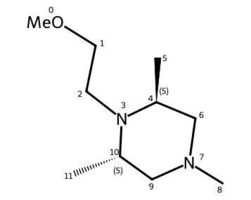 COCCN1[C@@H](C)CN(C)C[C@@H]1C